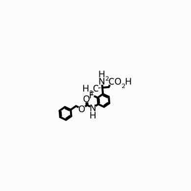 C[C@](N)(CC(=O)O)c1cccc(NC(=O)OCc2ccccc2)c1F